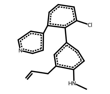 C=CCc1cc(-c2c(Cl)cccc2-c2ccncc2)ccc1NC